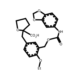 CCOc1ccc(CC2(C(=O)O)CCCO2)cc1COC(=O)Nc1ccc2c(c1)OCO2